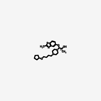 Cc1nc2cc(OC([C@@H](C)O)N3CCN(CCCCOC4CCCC4)CC3)ccc2s1